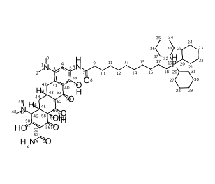 CN(C)c1cc(NC(=O)CCCCCCCCCC[PH](C2CCCCC2)(C2CCCCC2)C2CCCCC2)c(O)c2c1C[C@H]1C[C@H]3[C@H](N(C)C)C(O)=C(C(N)=O)C(=O)[C@@]3(O)C(O)=C1C2=O